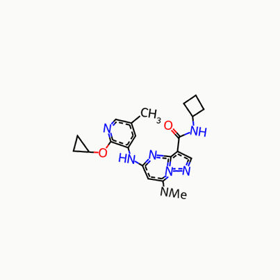 CNc1cc(Nc2cc(C)cnc2OC2CC2)nc2c(C(=O)NC3CCC3)cnn12